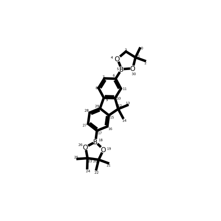 CC1(C)COB(c2ccc3c(c2)C(C)(C)c2cc(B4OC(C)(C)C(C)(C)O4)ccc2-3)O1